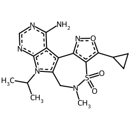 CC(C)n1c2c(c3c(N)ncnc31)-c1noc(C3CC3)c1S(=O)(=O)N(C)C2